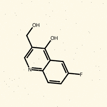 OCc1cnc2ccc(F)cc2c1O